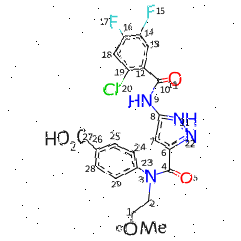 COCCN(C(=O)c1cc(NC(=O)c2cc(F)c(F)cc2Cl)[nH]n1)c1ccc(C(=O)O)cc1